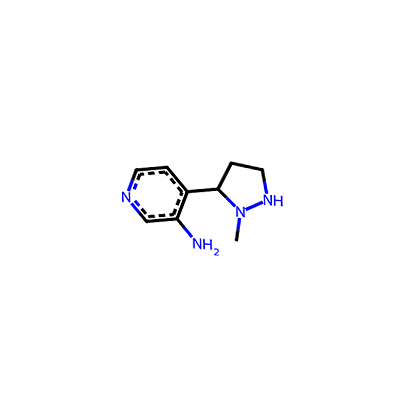 CN1NCCC1c1ccncc1N